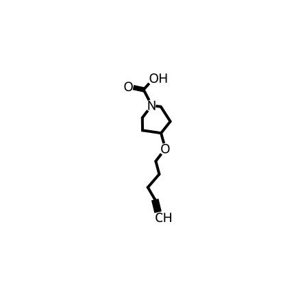 C#CCCCOC1CCN(C(=O)O)CC1